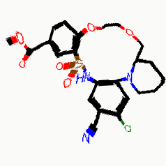 COC(=O)c1ccc2c(c1)S(=O)(=O)Nc1cc(C#N)c(Cl)cc1N1CCCCC1COCCO2